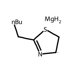 CCCCCC1=N[CH]CS1.[MgH2]